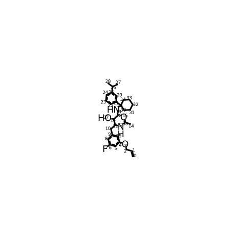 C=CCOc1cc(F)cc(CC(NC(C)=O)C(O)CNC2(c3cccc(C(C)C)c3)CCCCC2)c1